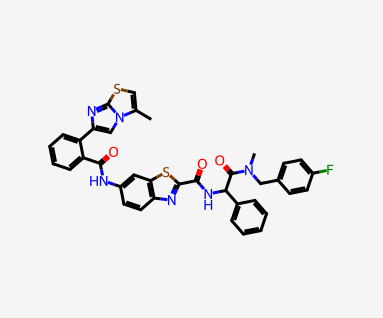 Cc1csc2nc(-c3ccccc3C(=O)Nc3ccc4nc(C(=O)NC(C(=O)N(C)Cc5ccc(F)cc5)c5ccccc5)sc4c3)cn12